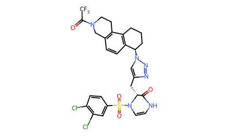 O=C1NC=CN(S(=O)(=O)c2ccc(Cl)c(Cl)c2)[C@@H]1Cc1cn([C@@H]2CCCc3c2ccc2c3CCN(C(=O)C(F)(F)F)C2)nn1